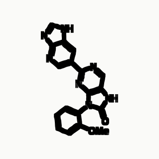 COc1ccccc1-n1c(=O)[nH]c2cnc(-c3cnc4nc[nH]c4c3)nc21